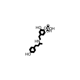 CC(CCc1ccc(O)cc1)NCCc1ccc(OP(=O)(O)O)c(O)c1